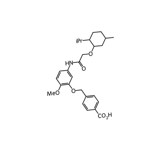 COc1ccc(NC(=O)COC2CC(C)CCC2C(C)C)cc1OCc1ccc(C(=O)O)cc1